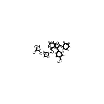 COc1ccc(-c2c(-c3ccccc3)oc3ncnc(O[C@H]4CC[C@H](OCC(=O)O)C4)c23)cc1